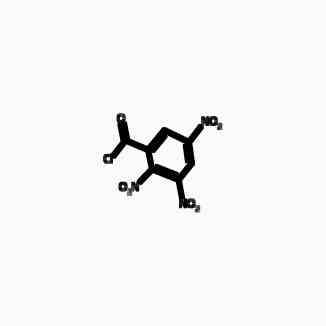 O=C(Cl)c1cc([N+](=O)[O-])cc([N+](=O)[O-])c1[N+](=O)[O-]